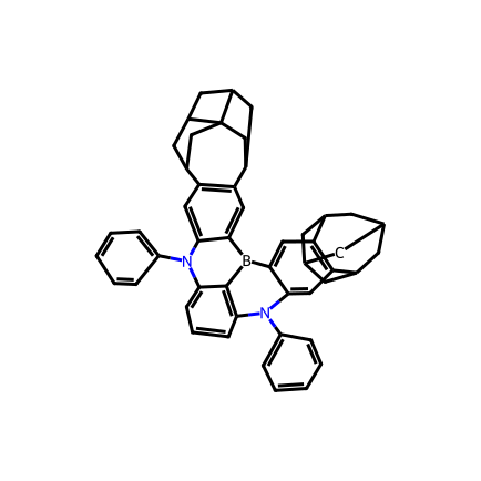 c1ccc(N2c3cc4c(cc3B3c5cc6c(cc5N(c5ccccc5)c5cccc2c53)C2CC3CC5CC6CC53C2)C2CC3CC(C2)CC4C3)cc1